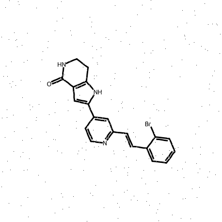 O=C1NCCc2[nH]c(-c3ccnc(C=Cc4ccccc4Br)c3)cc21